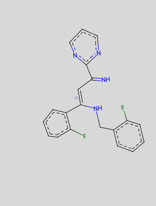 N=C(/C=C(\NCc1ccccc1F)c1ccccc1F)c1ncccn1